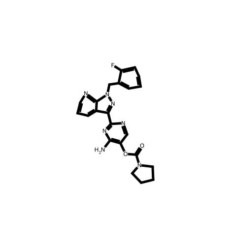 Nc1nc(-c2nn(Cc3ccccc3F)c3ncccc23)ncc1OC(=O)N1CCCC1